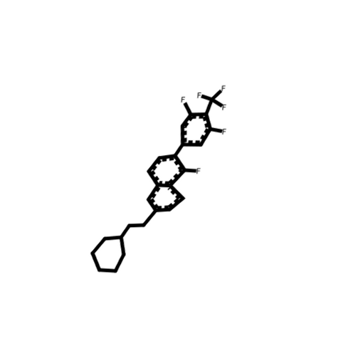 Fc1cc(-c2ccc3cc(CCC4CCCCC4)ccc3c2F)cc(F)c1C(F)(F)F